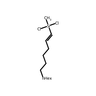 CCCCCCCCCC/C=C/[Si](C)(Cl)Cl